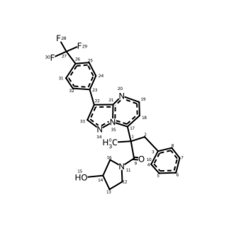 CC(Cc1ccccc1)(C(=O)N1CCC(O)C1)c1ccnc2c(-c3ccc(C(F)(F)F)cc3)cnn12